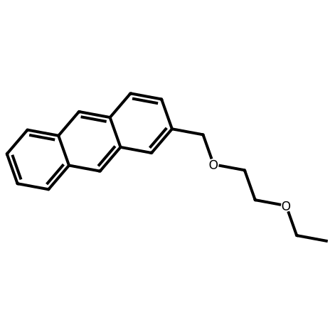 CCOCCOCc1ccc2cc3ccccc3cc2c1